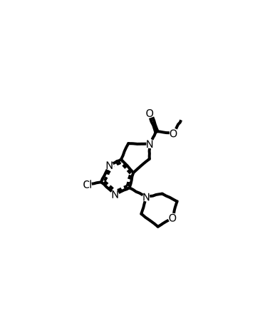 COC(=O)N1Cc2nc(Cl)nc(N3CCOCC3)c2C1